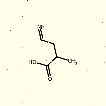 CC(CC=N)C(=O)O